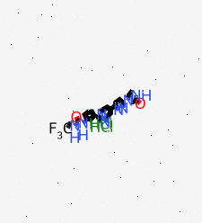 Cl.Cl.O=C1CN(c2ccc(-c3ccn4c(-c5cccc(NC(=O)NCC(F)(F)F)c5)cnc4c3)nn2)CCN1